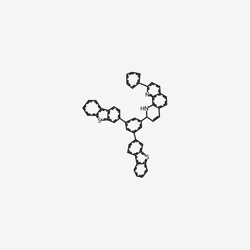 C1=CC(c2cc(-c3ccc4c(c3)sc3ccccc34)cc(-c3ccc4c(c3)sc3ccccc34)c2)Nc2c1ccc1ccc(-c3ccccc3)nc21